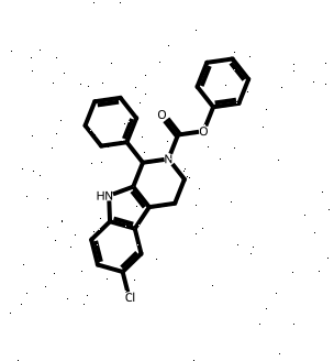 O=C(Oc1ccccc1)N1CCc2c([nH]c3ccc(Cl)cc23)C1C1=CC=CCC1